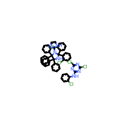 Clc1ccccc1C1(c2ccccc2Cl)NC(c2ccccc2)(c2ccccc2)C(c2ccccc2)(c2ccccc2)N1c1ncc[nH]1.Clc1nc(Cl)nc(Nc2ccccc2Cl)n1